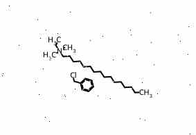 CCCCCCCCCCCCCCCC[N+](C)(C)CC.ClCc1ccccc1